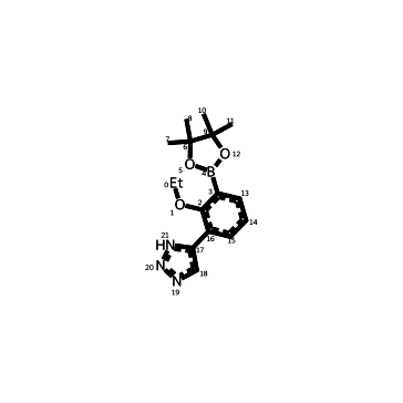 CCOc1c(B2OC(C)(C)C(C)(C)O2)cccc1-c1cnn[nH]1